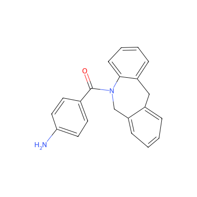 Nc1ccc(C(=O)N2Cc3ccccc3Cc3ccccc32)cc1